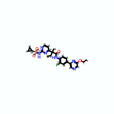 CCOc1cncc(-c2ccc(NC(=O)C(C)(CC)c3ccnc(NS(=O)(=O)C4CC4)n3)c(F)c2)n1